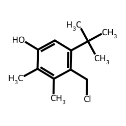 Cc1c(O)cc(C(C)(C)C)c(CCl)c1C